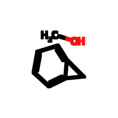 CO.c1ccc2c(c1)C2